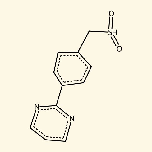 O=[SH](=O)Cc1ccc(-c2ncccn2)cc1